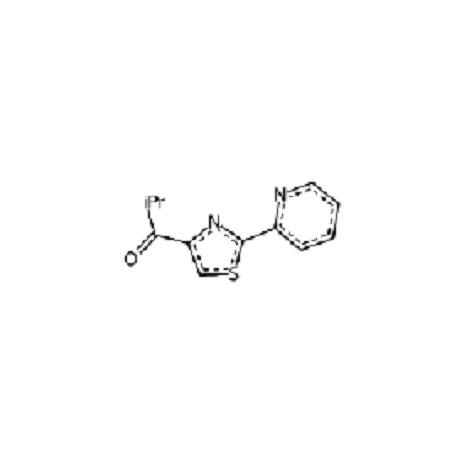 CC(C)C(=O)c1csc(-c2ccccn2)n1